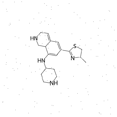 CC1CSC(C2=CC3=CCNCC3C(NC3CCNCC3)=C2)=N1